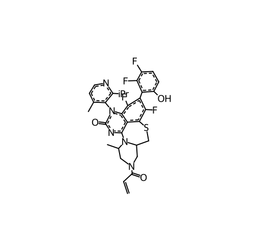 C=CC(=O)N1CC(C)N2c3nc(=O)n(-c4c(C)ccnc4C(C)C)c4c(F)c(-c5c(O)ccc(F)c5F)c(F)c(c34)SCC2C1